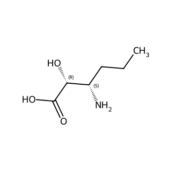 CCC[C@H](N)[C@@H](O)C(=O)O